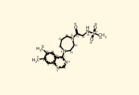 Cc1cc2ncnc(N3CCCN(C(=O)CNS(C)(=O)=O)CC3)c2cc1C